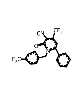 [C-]#[N+]c1c(C(F)(F)F)cc(-c2ccccc2)n(Cc2ccc(C(F)(F)F)cc2)c1=O